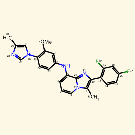 COc1cc(Nc2cccn3c(C)c(-c4ccc(F)cc4F)nc23)ccc1-n1cnc(C)c1